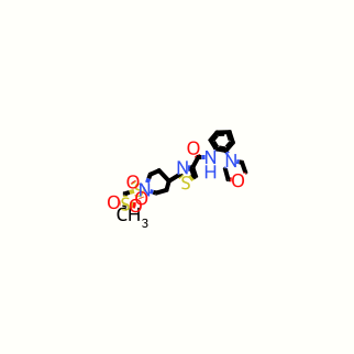 CS(=O)(=O)CS(=O)(=O)N1CCC(c2nc(C(=O)Nc3ccccc3N3CCOCC3)cs2)CC1